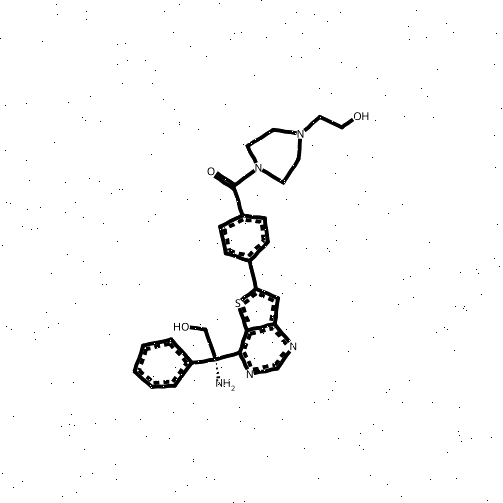 N[C@@](CO)(c1ccccc1)c1ncnc2cc(-c3ccc(C(=O)N4CCN(CCO)CC4)cc3)sc12